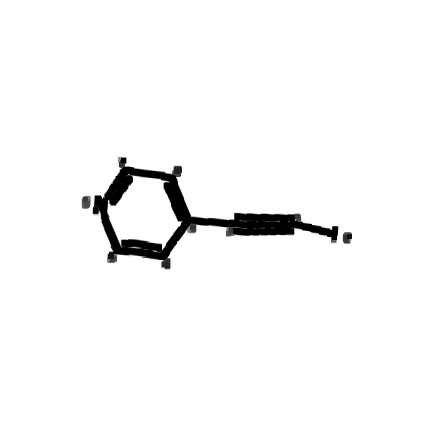 IC#Cc1ccncc1